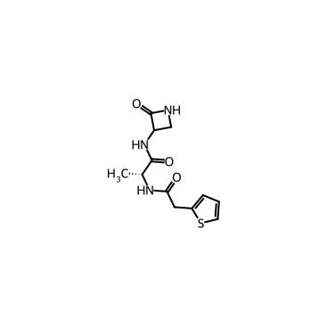 C[C@@H](NC(=O)Cc1cccs1)C(=O)NC1CNC1=O